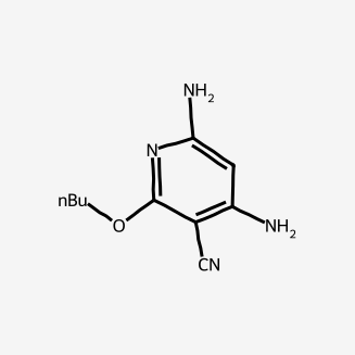 CCCCOc1nc(N)cc(N)c1C#N